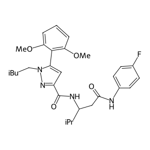 CCC(C)Cn1nc(C(=O)NC(CC(=O)Nc2ccc(F)cc2)C(C)C)cc1-c1c(OC)cccc1OC